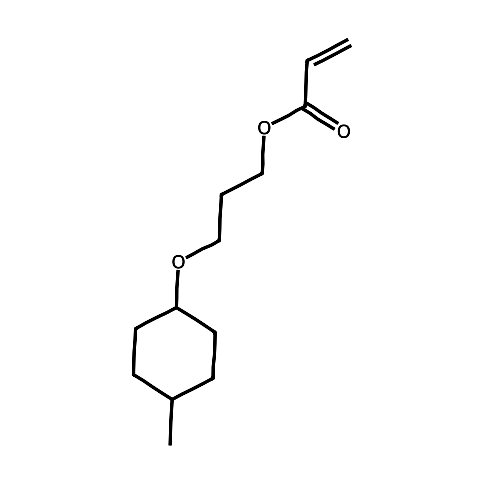 C=CC(=O)OCCCOC1CCC(C)CC1